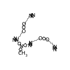 Cc1ccc(N(c2ccc(-c3cn(CCCCCCOc4ccc(OCCCCCCn5ccnn5)cc4)nn3)cc2)c2ccc(-c3cnnn3CCCCCCOc3ccc(OCCCCCCn4ccnn4)cc3)cc2)cc1